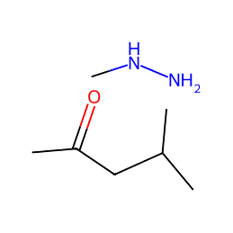 CC(=O)CC(C)C.CNN